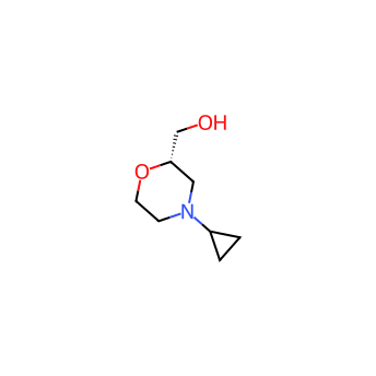 OC[C@@H]1CN(C2CC2)CCO1